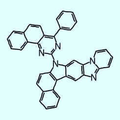 c1ccc(-c2nc(-n3c4cc5c(cc4c4c6ccccc6ccc43)nc3ccccn35)nc3c2ccc2ccccc23)cc1